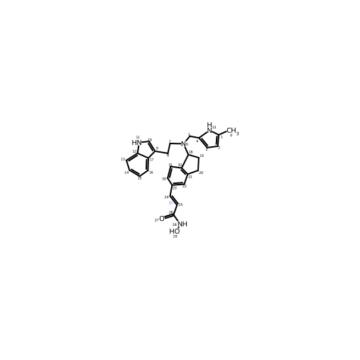 Cc1ccc(CN(CCc2c[nH]c3ccccc23)C2CCc3cc(/C=C/C(=O)NO)ccc32)[nH]1